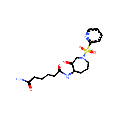 NC(=O)CCC[CH]C(=O)NC1CCCN(S(=O)(=O)c2ccccn2)CC1=O